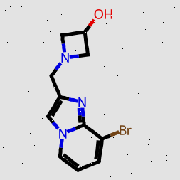 OC1CN(Cc2cn3cccc(Br)c3n2)C1